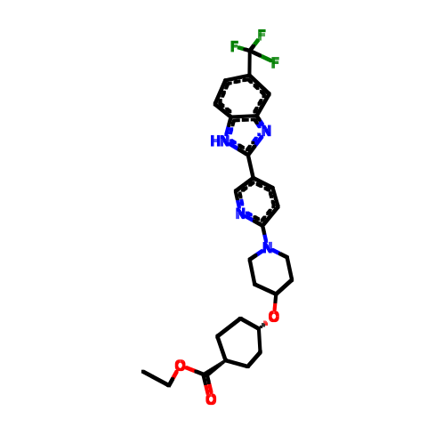 CCOC(=O)[C@H]1CC[C@H](OC2CCN(c3ccc(-c4nc5cc(C(F)(F)F)ccc5[nH]4)cn3)CC2)CC1